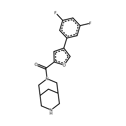 O=C(c1cc(-c2cc(F)cc(F)c2)co1)N1CC2CNCC(C2)C1